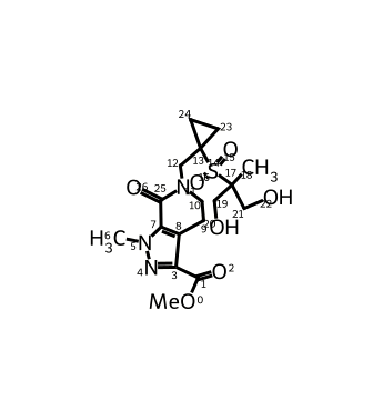 COC(=O)c1nn(C)c2c1CCN(CC1(S(=O)(=O)C(C)(CO)CO)CC1)C2=O